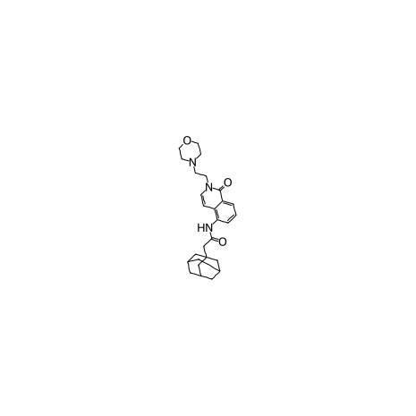 O=C(CC12CC3CC(CC(C3)C1)C2)Nc1cccc2c(=O)n(CCN3CCOCC3)ccc12